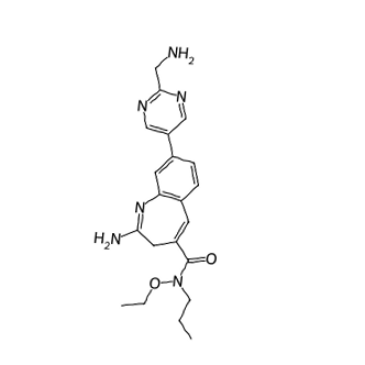 CCCN(OCC)C(=O)C1=Cc2ccc(-c3cnc(CN)nc3)cc2N=C(N)C1